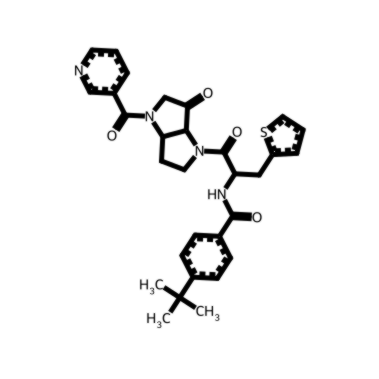 CC(C)(C)c1ccc(C(=O)NC(Cc2cccs2)C(=O)N2CCC3C2C(=O)CN3C(=O)c2cccnc2)cc1